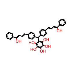 O/C(=C\C=C\c1ccc(C(c2ccc(/C=C/C=C(\O)c3ccccc3)cc2)c2c(O)c(O)c(O)c(O)c2O)cc1)c1ccccc1